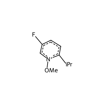 CO[n+]1cc(F)ccc1C(C)C